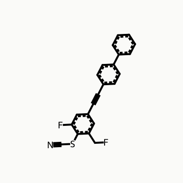 N#CSc1c(F)cc(C#Cc2ccc(-c3ccccc3)cc2)cc1CF